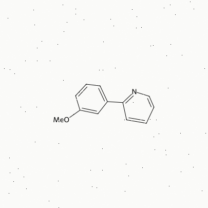 COc1cccc(-c2[c]cccn2)c1